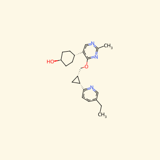 CCc1ccc([C@@H]2C[C@@H]2COc2nc(C)ncc2[C@H]2CC[C@H](O)CC2)nc1